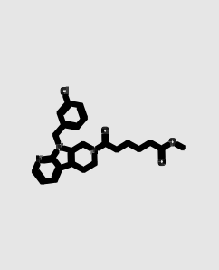 COC(=O)CCCCC(=O)N1CCc2c(n(Cc3cccc(Cl)c3)c3ncccc23)C1